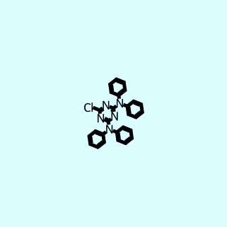 Clc1nc(N(c2ccccc2)c2ccccc2)nc(N(c2ccccc2)c2ccccc2)n1